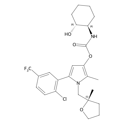 Cc1c(OC(=O)N[C@@H]2CCCC[C@H]2O)cc(-c2cc(C(F)(F)F)ccc2Cl)n1C[C@]1(C)CCCO1